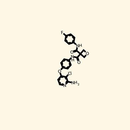 Nc1nccc(Oc2ccc(NC(=O)C3(C(=O)Nc4ccc(F)cc4)COC3)cc2)c1Cl